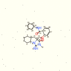 CN1C(=N)N2C3CCCCC3CC2(COC2C=CC=CC2C(=O)Nc2ccccc2)C1=O